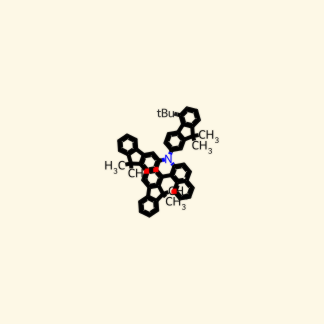 CC(C)(C)c1cccc2c1-c1ccc(N(c3ccc4c(c3)-c3ccccc3C4(C)C)c3ccc4ccccc4c3-c3cccc4c3C(C)(C)c3ccccc3-4)cc1C2(C)C